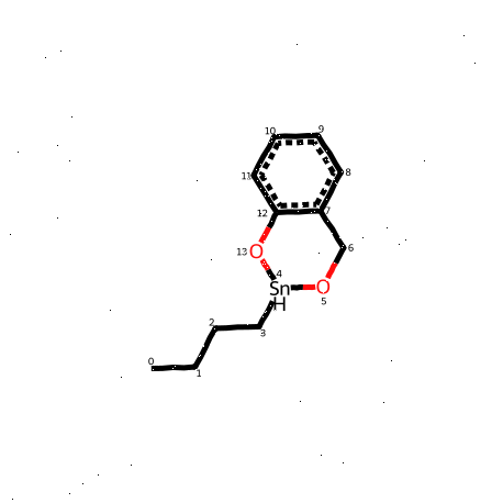 CCC[CH2][SnH]1[O]Cc2ccccc2[O]1